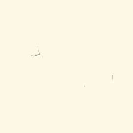 CCC(C)CCC(Cl)CC